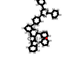 c1ccc(-c2cc(-c3ccc(-c4cccc5c4nc(-c4ccccc4)c4c5oc5c6ccccc6n(-c6ccccc6)c54)cc3)nc(-c3ccccc3)n2)cc1